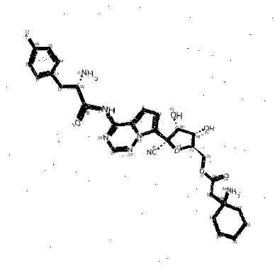 N#C[C@@]1(c2ccc3c(NC(=O)[C@@H](N)Cc4ccc(F)cc4)ncnn23)O[C@H](COC(=O)CC2(N)CCCCC2)[C@@H](O)[C@H]1O